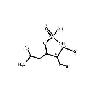 CC(O)CC(OP(=O)(O)O)C(CBr)CBr